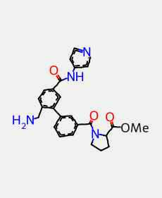 COC(=O)C1CCCN1C(=O)c1cccc(-c2cc(C(=O)Nc3ccncc3)ccc2CN)c1